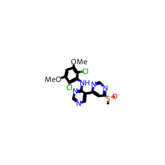 COc1cc(OC)c(Cl)c(Nc2ncncc2-c2cc([S+](C)[O-])ncn2)c1Cl